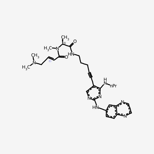 CCCNc1nc(Nc2ccc3nccnc3c2)ncc1C#CCCCNC(=O)[C@H](C)N(C)C(=O)/C=C/CN(C)C